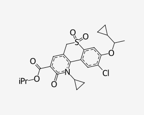 CC(C)OC(=O)c1cc2c(n(C3CC3)c1=O)-c1cc(Cl)c(OC(C)C3CC3)cc1S(=O)(=O)C2